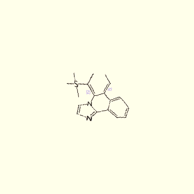 C/C=c1\c(=C(/C)S(C)(C)C)n2ccnc2c2ccccc12